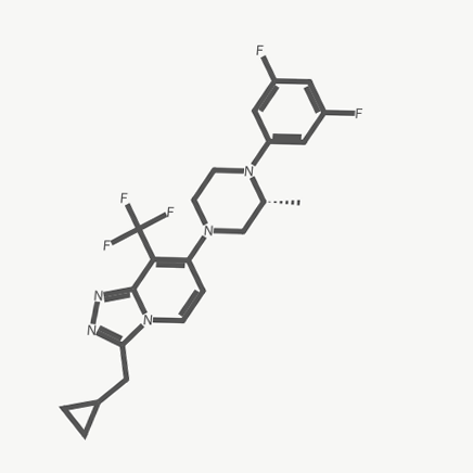 C[C@@H]1CN(c2ccn3c(CC4CC4)nnc3c2C(F)(F)F)CCN1c1cc(F)cc(F)c1